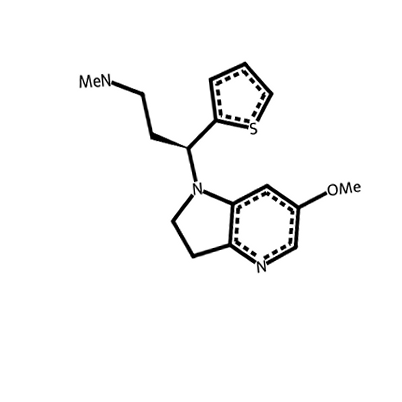 CNCC[C@@H](c1cccs1)N1CCc2ncc(OC)cc21